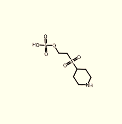 O=S(=O)(O)OCCS(=O)(=O)C1CCNCC1